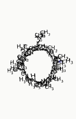 C/C=C/C[C@@H](C)C[C@H]1C(=O)N[C@@H](CC)C(=O)N(C)[C@H](CSCCN(CC)CC)C(=O)N(C)[C@@H](CC(C)C)C(=O)N[C@H](C(C)C)C(=O)N(C)[C@H](CC(C)C)C(=O)N[C@H](C)C(=O)N[C@@H](C)C(=O)N(C)[C@@H](CC(C)C)C(=O)N(C)[C@@H](CC(C)C)C(=O)N(C)[C@@H](C(C)C)C(=O)N1C